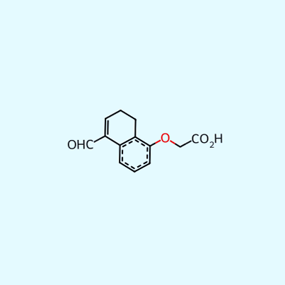 O=CC1=CCCc2c(OCC(=O)O)cccc21